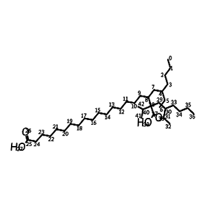 CCCCC(CC)CC(CCCCCCCCCCCCCCCCC(=O)O)C(CC(CC)CCCC)(C(=O)O)C(C)C